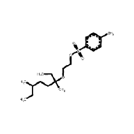 CCC(C)CCC(C)(CC)OCCOS(=O)(=O)c1ccc(C)cc1